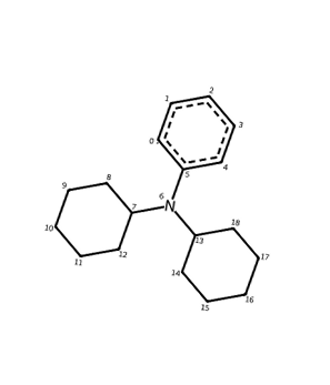 [c]1ccccc1N(C1CCCCC1)C1CCCCC1